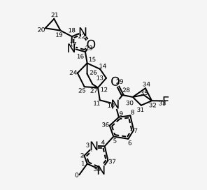 Cc1cnc(-c2cccc(N(CC34CCC(c5nc(C6CC6)no5)(CC3)CC4)C(=O)C34CC(F)(C3)C4)c2)cn1